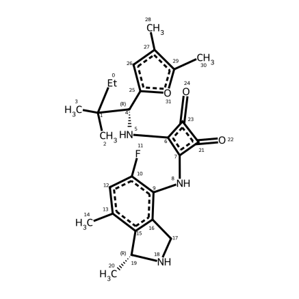 CCC(C)(C)[C@@H](Nc1c(Nc2c(F)cc(C)c3c2CN[C@@H]3C)c(=O)c1=O)c1cc(C)c(C)o1